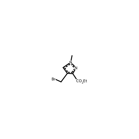 CCOC(=O)c1nn(C)cc1CBr